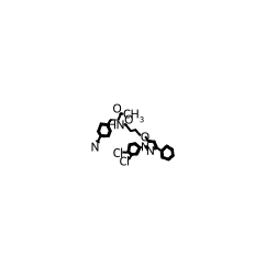 CC(=O)[C@H](Cc1ccc(C#N)cc1)NC(=O)CCCOc1cc(-c2ccccc2)nn1-c1ccc(Cl)c(Cl)c1